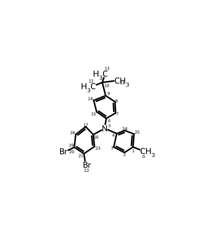 Cc1ccc(N(c2ccc(C(C)(C)C)cc2)c2ccc(Br)c(Br)c2)cc1